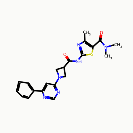 Cc1nc(NC(=O)C2CN(c3cc(-c4ccccc4)ncn3)C2)sc1C(=O)N(C)C